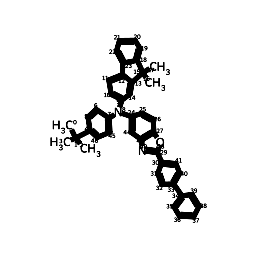 CC(C)(C)c1ccc(N(c2ccc3c(c2)C(C)(C)c2ccccc2-3)c2ccc3oc(-c4ccc(-c5ccccc5)cc4)nc3c2)cc1